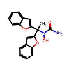 CC(c1cc2ccccc2o1)(c1cc2ccccc2o1)N(O)C(N)=O